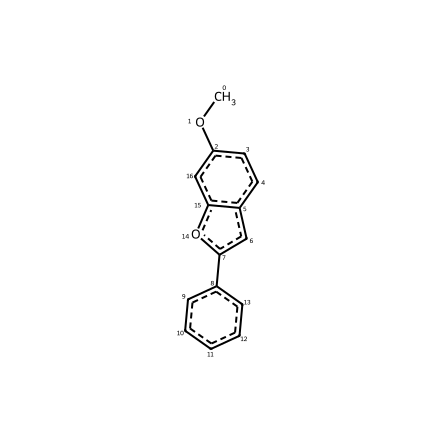 COc1ccc2cc(-c3ccccc3)oc2c1